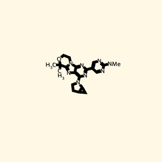 CNc1ncc(-c2nc(N3CCC4CC43)c3nc4n(c3n2)CCOC4(C)C)cn1